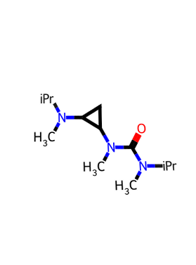 CC(C)N(C)C(=O)N(C)C1CC1N(C)C(C)C